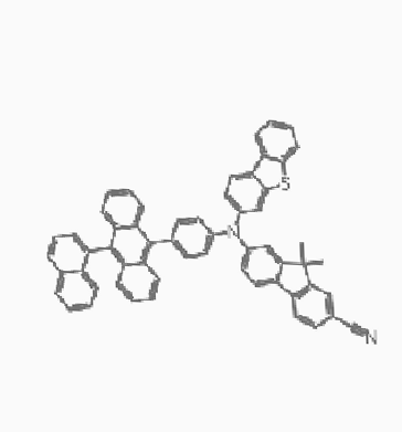 CC1(C)c2cc(C#N)ccc2-c2ccc(N(c3ccc(-c4c5ccccc5c(-c5cccc6ccccc56)c5ccccc45)cc3)c3ccc4c(c3)sc3ccccc34)cc21